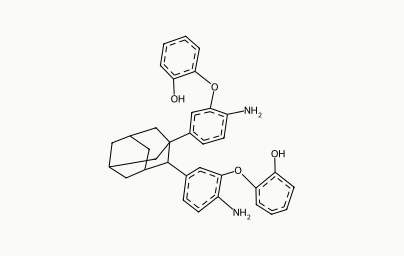 Nc1ccc(C2C3CC4CC(C3)CC2(c2ccc(N)c(Oc3ccccc3O)c2)C4)cc1Oc1ccccc1O